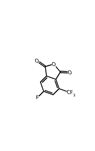 O=C1OC(=O)c2c1cc(F)cc2C(F)(F)F